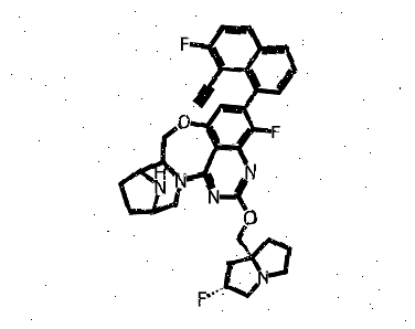 C#Cc1c(F)ccc2cccc(-c3cc4c5c(nc(OC[C@@]67CCCN6C[C@H](F)C7)nc5c3F)N3CC5CCC(N5)C3CO4)c12